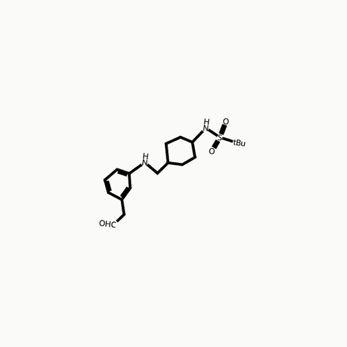 CC(C)(C)S(=O)(=O)NC1CCC(CNc2cccc(CC=O)c2)CC1